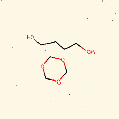 C1OCOCO1.OCCCCO